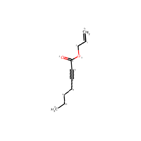 C=CCOC(=O)C#CCCCC